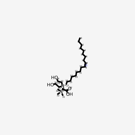 CCCCCCCC/C=C\CCCCCCCC[N+](CCO)(CCO)C(C(=O)O)[N+](C)(C)C